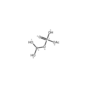 CC(=O)OP(=O)(O)OB(O)O